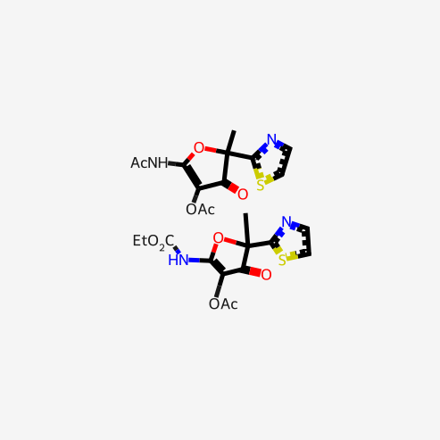 CC(=O)NC1=C(OC(C)=O)C(=O)C(C)(c2nccs2)O1.CCOC(=O)NC1=C(OC(C)=O)C(=O)C(C)(c2nccs2)O1